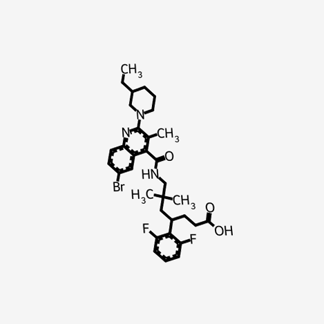 CCC1CCCN(c2nc3ccc(Br)cc3c(C(=O)NCC(C)(C)CC(CCC(=O)O)c3c(F)cccc3F)c2C)C1